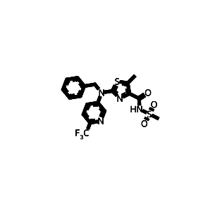 Cc1sc(N(Cc2ccccc2)c2ccc(C(F)(F)F)nc2)nc1C(=O)NS(C)(=O)=O